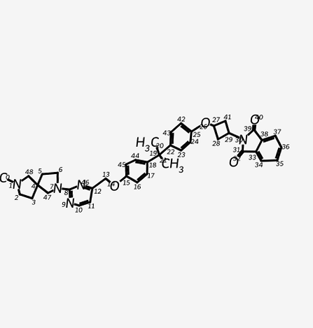 CN1CCC2(CCN(c3nccc(COc4ccc(C(C)(C)c5ccc(OC6CC(N7C(=O)c8ccccc8C7=O)C6)cc5)cc4)n3)C2)C1